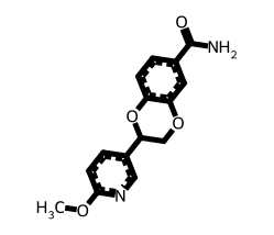 COc1ccc(C2COc3cc(C(N)=O)ccc3O2)cn1